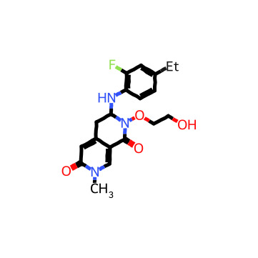 CCc1ccc(NC2Cc3cc(=O)n(C)cc3C(=O)N2OCCO)c(F)c1